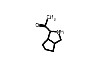 CC(=O)C1NCC2CCCC21